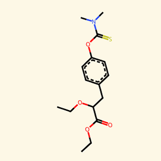 CCOC(=O)C(Cc1ccc(OC(=S)N(C)C)cc1)OCC